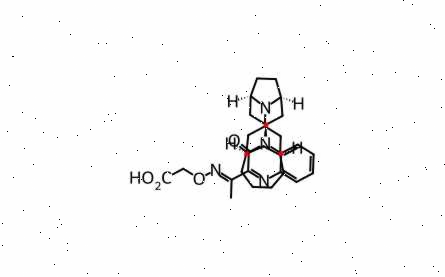 C/C(=N\OCC(=O)O)c1nc2ccccc2n([C@H]2C[C@H]3CC[C@@H](C2)N3C2C[C@H]3CCCC[C@@H](C2)C3)c1=O